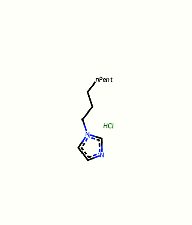 CCCCCCCCn1ccnc1.Cl